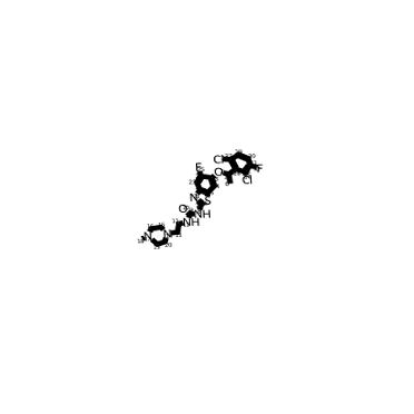 CC(Oc1cc2sc(NC(=O)NCCN3CCN(C)CC3)nc2cc1F)c1c(Cl)ccc(F)c1Cl